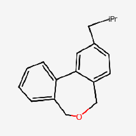 CC(C)Cc1ccc2c(c1)-c1ccccc1COC2